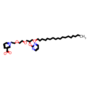 CCCCCCCCCCCCCCCCCCOCC(COCCOCC[n+]1cccc(C(=O)[O-])c1)Oc1ncccn1